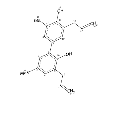 C=CCc1cc(SC)cc(-c2cc(CC=C)c(O)c(C(C)(C)C)c2)c1O